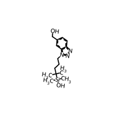 CC(C)(CCCn1nnc2ccc(CO)cc21)[Si](C)(C)O